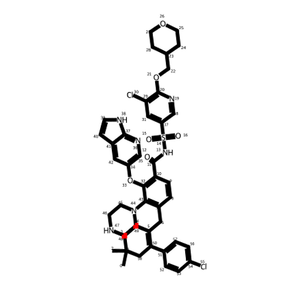 CC1(C)CCC(Cc2ccc(C(=O)NS(=O)(=O)c3cnc(OCC4CCOCC4)c(Cl)c3)c(Oc3cnc4[nH]ccc4c3)c2N2CCNCC2)=C(c2ccc(Cl)cc2)C1